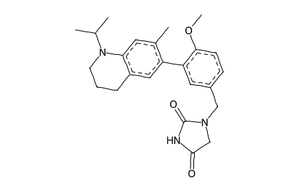 COc1ccc(CN2CC(=O)NC2=O)cc1-c1cc2c(cc1C)N(C(C)C)CCC2